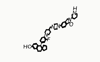 O=C1c2ccc(N3CCN(CC4CCN(c5ccc([C@@H]6c7ccc(O)cc7CCC67CCCC7)cc5F)CC4)CC3)cc2CN1[C@H]1CCCNC1